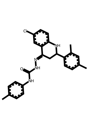 Cc1ccc(NC(=O)NN=C2CC(c3ccc(C)cc3C)Nc3ccc(Cl)cc32)cc1